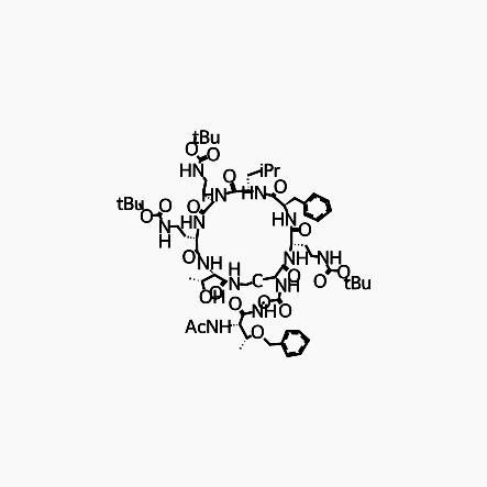 CC(=O)N[C@H](C(=O)NOC(=O)N[C@H]1CCNC(=O)[C@H]([C@@H](C)O)NC(=O)[C@H](CCNC(=O)OC(C)(C)C)NC(=O)[C@H](CCNC(=O)OC(C)(C)C)NC(=O)[C@H](CC(C)C)NC(=O)[C@@H](Cc2ccccc2)NC(=O)[C@H](CCNC(=O)OC(C)(C)C)NC1=O)[C@@H](C)OCc1ccccc1